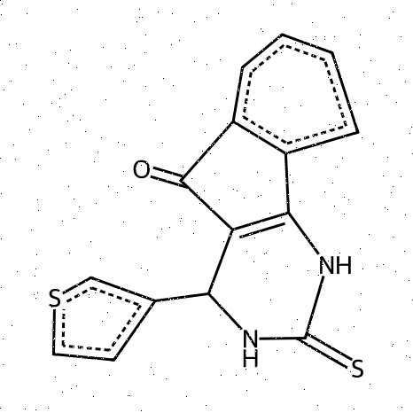 O=C1C2=C(NC(=S)NC2c2ccsc2)c2ccccc21